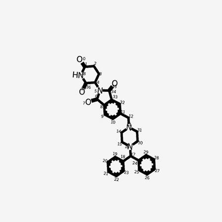 O=C1CCC(N2C(=O)c3ccc(CN4CCN(C(c5ccccc5)c5ccccc5)CC4)cc3C2=O)C(=O)N1